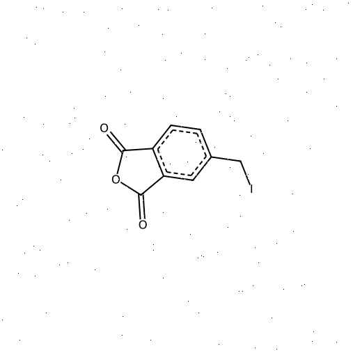 O=C1OC(=O)c2cc(CI)ccc21